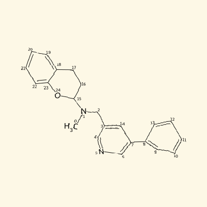 CN(Cc1cncc(-c2ccccc2)c1)C1CCc2ccccc2O1